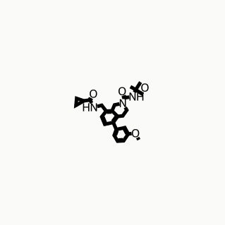 COc1cccc(-c2ccc(CNC(=O)C3CC3)c3c2CCN(C(=O)NC2(C)COC2)C3)c1